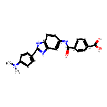 CN(C)c1ccc(-c2nc3cc(NC(=O)c4ccc(C(=O)O)cc4)ccc3[nH]2)cc1